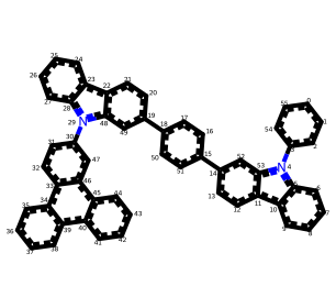 c1ccc(-n2c3ccccc3c3ccc(-c4ccc(-c5ccc6c7ccccc7n(-c7ccc8c9ccccc9c9ccccc9c8c7)c6c5)cc4)cc32)cc1